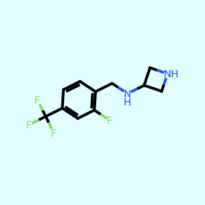 Fc1cc(C(F)(F)F)ccc1CNC1CNC1